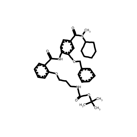 CN(C(=O)c1ccc(NC(=O)c2ccccc2OCCCNC(=O)OC(C)(C)C)c(OCc2ccccc2)c1)C1CCCCC1